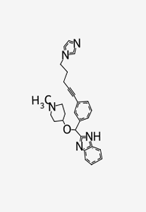 CN1CCC(OC(c2cccc(C#CCCCn3ccnc3)c2)c2nc3ccccc3[nH]2)CC1